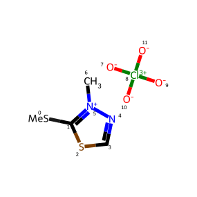 CSc1scn[n+]1C.[O-][Cl+3]([O-])([O-])[O-]